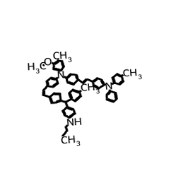 CCCCNc1ccc(C(c2ccc(C)cc2)c2ccc(/C=C\c3ccc(N(c4ccc(/C=C/c5ccc(N(c6ccccc6)c6ccc(C)cc6)cc5)cc4)c4ccc(C)c(OC)c4)cc3)cc2)cc1